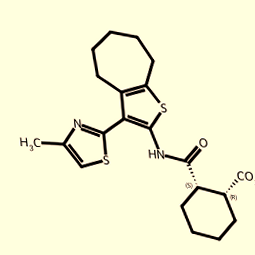 Cc1csc(-c2c(NC(=O)[C@H]3CCCC[C@H]3C(=O)O)sc3c2CCCCC3)n1